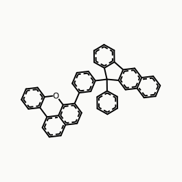 c1ccc(C2(c3cccc(-c4ccc5cccc6c5c4Oc4ccccc4-6)c3)c3ccccc3-c3cc4ccccc4cc32)cc1